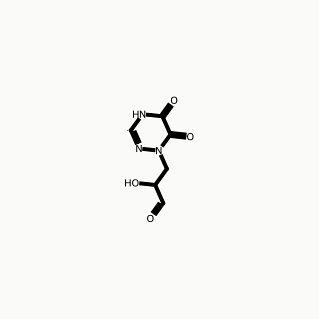 O=CC(O)Cn1n[c][nH]c(=O)c1=O